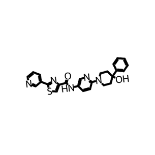 O=C(Nc1ccc(N2CCC(O)(c3ccccc3)CC2)nc1)c1csc(-c2cccnc2)n1